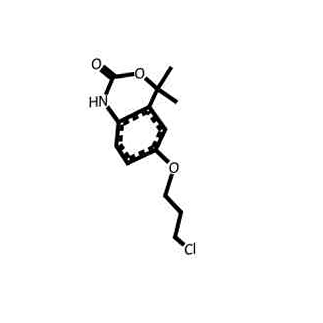 CC1(C)OC(=O)Nc2ccc(OCCCCl)cc21